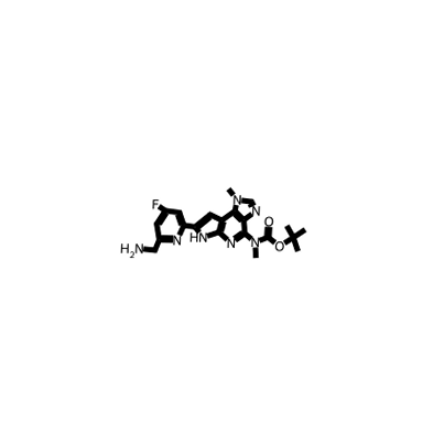 CN(C(=O)OC(C)(C)C)c1nc2[nH]c(-c3cc(F)cc(CN)n3)cc2c2c1ncn2C